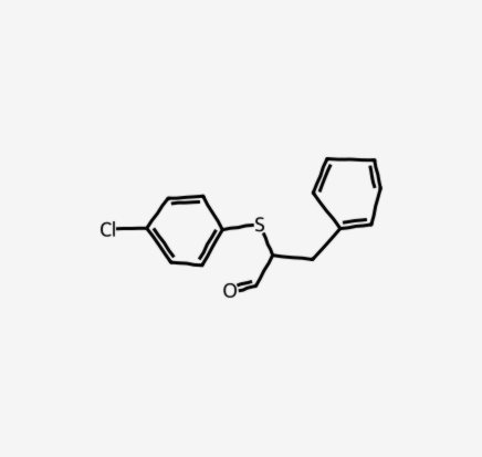 O=CC(Cc1ccccc1)Sc1ccc(Cl)cc1